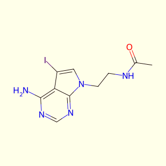 CC(=O)NCCn1cc(I)c2c(N)ncnc21